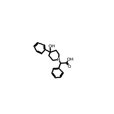 O=C(O)C(c1ccccc1)N1CCC(O)(c2ccccc2)CC1